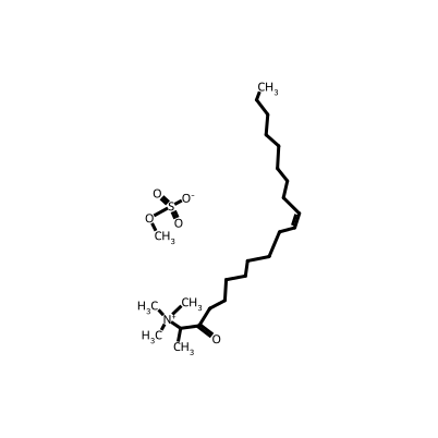 CCCCCCCC/C=C\CCCCCCCC(=O)C(C)[N+](C)(C)C.COS(=O)(=O)[O-]